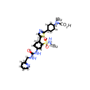 CC(C)(C)NS(=O)(=O)c1cc(NC(=O)NCc2ccccn2)ccc1-c1cnc(C2CCC(N(C(=O)O)C(C)(C)C)CC2)s1